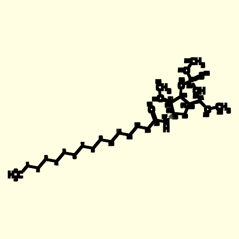 CCCCCCCCCCCCCCCC(=O)N[C@H]1C[C@H](COC)C(OP(O)(=S)OC)[C@@H]1OC